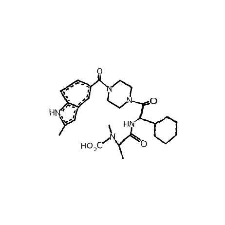 Cc1cc2cc(C(=O)N3CCN(C(=O)C(NC(=O)C(C)N(C)C(=O)O)C4CCCCC4)CC3)ccc2[nH]1